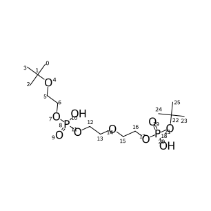 CC(C)(C)OCCOP(=O)(O)OCCOCCOP(=O)(O)OC(C)(C)C